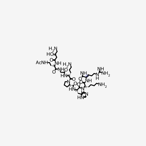 CC(=O)NCC[C@H](NC(=O)C[C@@H](O)CN)C(=O)NCC(=O)N[C@H](CCCN)C(=O)N1CCC[C@H]1C(=O)N[C@@H](Cc1cnc[nH]1)C(=O)N[C@@H](CCCCN)C(=O)N/C(=C\CCNC(=N)N)C(N)=O